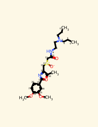 CCCN(CCC)CCNC(=O)C[S+]([O-])Cc1nc(-c2ccc(OC)c(OC)c2)oc1C